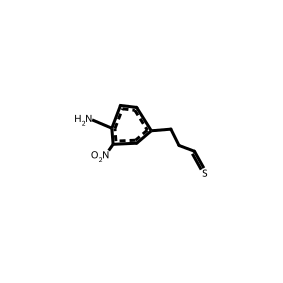 Nc1ccc(CCC=S)cc1[N+](=O)[O-]